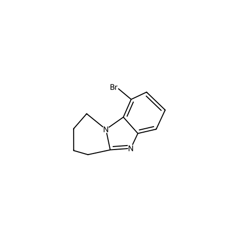 Brc1cccc2nc3n(c12)CCCC3